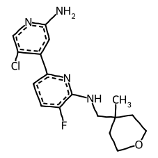 CC1(CNc2nc(-c3cc(N)ncc3Cl)ccc2F)CCOCC1